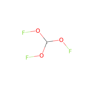 FO[C](OF)OF